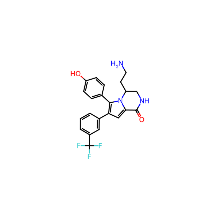 NCCC1CNC(=O)c2cc(-c3cccc(C(F)(F)F)c3)c(-c3ccc(O)cc3)n21